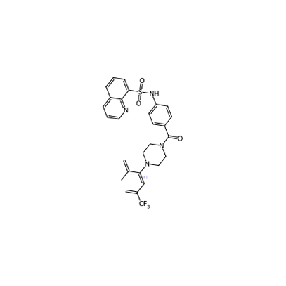 C=C(C)/C(=C\C(=C)C(F)(F)F)N1CCN(C(=O)c2ccc(NS(=O)(=O)c3cccc4cccnc34)cc2)CC1